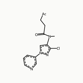 CC(=O)CCC(=O)N(C)c1cn(-c2cccnc2)nc1Cl